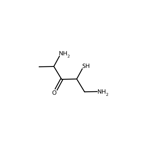 CC(N)C(=O)C(S)CN